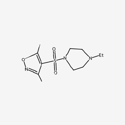 [CH2]CN1CCN(S(=O)(=O)c2c(C)noc2C)CC1